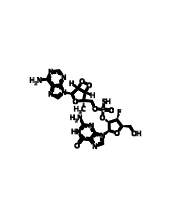 C[C@]1(COP(=O)(S)O[C@@H]2[C@H](F)[C@@H](CO)O[C@H]2n2cnc3c(=O)[nH]c(N)nc32)O[C@@H](n2cnc3c(N)ncnc32)[C@@H]2OO[C@@H]21